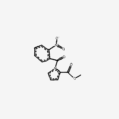 COC(=O)c1cccn1C(=O)c1ccccc1[N+](=O)[O-]